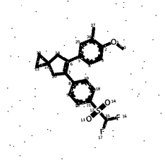 COc1ccc(C2=C(c3ccc(S(=O)(=O)C(F)F)cc3)CC3(CC3)C2)cc1C